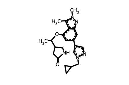 Cc1c2c(OC(C)C3CNC(=O)C3)cc(-c3cnn(CC4CC4)c3)cc2nn1C